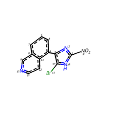 O=[N+]([O-])c1nc(-c2cccc3cnccc23)c(Br)[nH]1